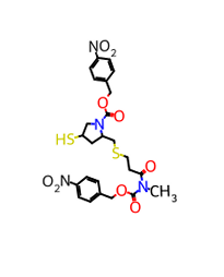 CN(C(=O)CCSCC1CC(S)CN1C(=O)OCc1ccc([N+](=O)[O-])cc1)C(=O)OCc1ccc([N+](=O)[O-])cc1